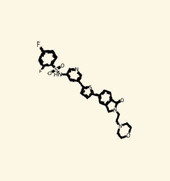 O=C1c2ccc(-c3ccc(-c4cncc(NS(=O)(=O)c5ccc(F)cc5F)c4)s3)cc2CN1CCN1CCOCC1